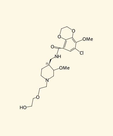 COc1c(Cl)cc(C(=O)NC[C@@H]2CCN(CCOCCO)CC2OC)c2c1OCCO2